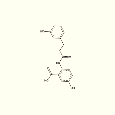 O=C(CCc1cccc(O)c1)Nc1ccc(O)cc1C(=O)O